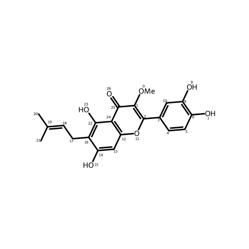 COc1c(-c2ccc(O)c(O)c2)oc2cc(O)c(CC=C(C)C)c(O)c2c1=O